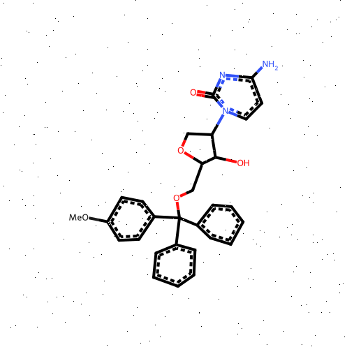 COc1ccc(C(OCC2OCC(n3ccc(N)nc3=O)C2O)(c2ccccc2)c2ccccc2)cc1